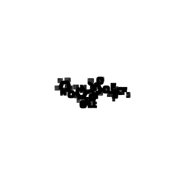 CCS(=O)(=O)c1cc(Oc2ccccn2)cnc1-c1ncc(OCC(F)(F)C(F)(F)F)c(=O)n1C